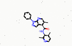 Cc1ccnc(C)c1NC(=O)c1c(C)cnc2c1cnn2-c1ccccc1